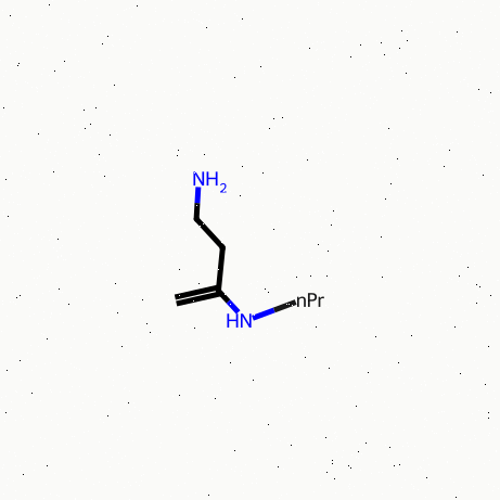 C=C(CCN)NCCC